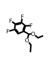 CCOC(OCC)c1cc(F)c(F)c(F)c1F